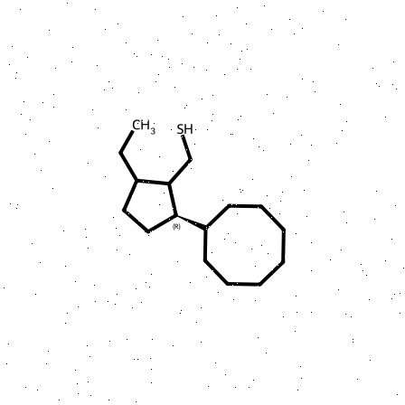 CCC1CC[C@H](C2CCCCCCC2)C1CS